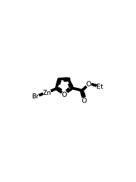 CCOC(=O)c1cc[c]([Zn][Br])o1